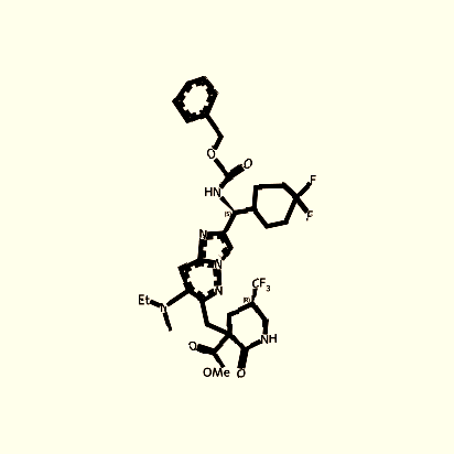 CCN(C)c1cc2nc([C@@H](NC(=O)OCc3ccccc3)C3CCC(F)(F)CC3)cn2nc1CC1(C(=O)OC)C[C@@H](C(F)(F)F)CNC1=O